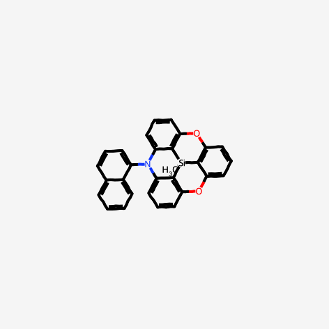 C[Si]12c3c4cccc3Oc3cccc(c31)N(c1cccc3ccccc13)c1cccc(c12)O4